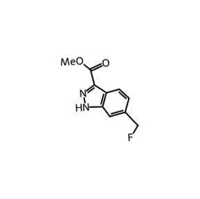 COC(=O)c1n[nH]c2cc(CF)ccc12